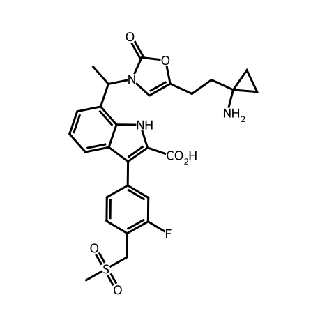 CC(c1cccc2c(-c3ccc(CS(C)(=O)=O)c(F)c3)c(C(=O)O)[nH]c12)n1cc(CCC2(N)CC2)oc1=O